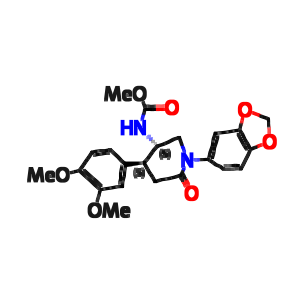 COC(=O)N[C@@H]1CN(c2ccc3c(c2)OCO3)C(=O)C[C@H]1c1ccc(OC)c(OC)c1